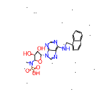 CN([C@@H]1O[C@@H](n2cnc3c(NCc4cccc5ccccc45)ncnc32)[C@H](O)[C@@H]1O)S(=O)(=O)O